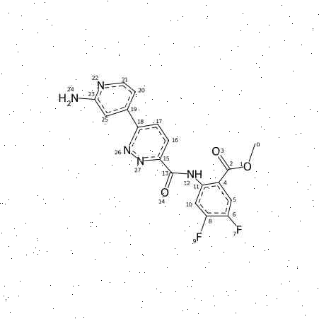 COC(=O)c1cc(F)c(F)cc1NC(=O)c1ccc(-c2ccnc(N)c2)nn1